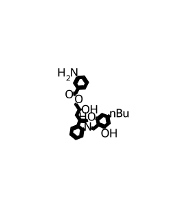 CCCCc1cc(O)c(Cn2cc(C[C@H](O)COC(=O)c3cccc(N)c3)c3ccccc32)c(O)c1